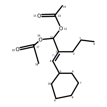 CCC/C(=C\C1CCCCC1)C(OC(C)=O)OC(C)=O